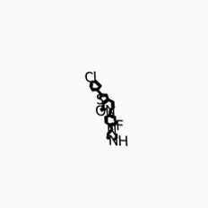 O=c1c2sc(-c3ccc(Cl)cc3)cc2ccn1-c1ccc(N2CCNCC2)c(F)c1